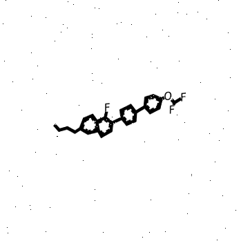 CCCCc1ccc2c(F)c(-c3ccc(-c4ccc(OC(F)F)cc4)cc3)ccc2c1